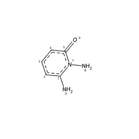 Nc1cccc(=O)n1N